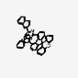 c1ccc(-c2cc(-c3ccc4ccccc4c3)nc(-c3cccc4c3-c3c(-c5cccnc5)cccc3C43c4ccccc4Oc4ccccc43)n2)cc1